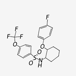 O=S(=O)(NC1CCCCC1Oc1ccc(F)cc1)c1ccc(OC(F)(F)F)cc1